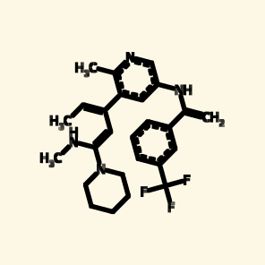 C=C(Nc1cnc(C)c(C(=C/C)/C=C(\NC)N2CCCCC2)c1)c1cccc(C(F)(F)F)c1